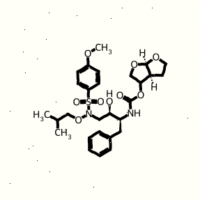 COc1ccc(S(=O)(=O)N(C[C@@H](O)[C@H](Cc2ccccc2)NC(=O)OC2CO[C@H]3OCC[C@@H]23)OCC(C)C)cc1